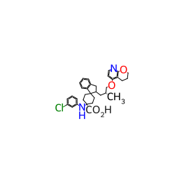 C[C@@H](COc1ccnc2c1CCCO2)CC1Cc2ccccc2C12CCC(Nc1cccc(Cl)c1)(C(=O)O)CC2